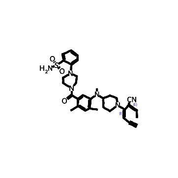 C#C/C=C(\C(C#N)=C/C)N1CCC(N(C)c2cc(C(=O)N3CCN(c4ccccc4S(N)(=O)=O)CC3)c(C)cc2C)CC1